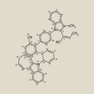 C/C=C(/C#N)c1c(C)c2ccccc2n1-c1ccc(-c2c(C#N)cccc2C2C=CC=CC2n2c3c(c4ccccc42)C=CCC=C3)cc1